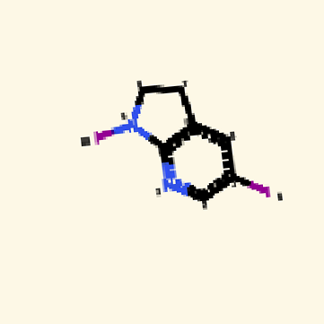 Ic1cnc2c(c1)CCN2I